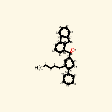 CCCCCc1cc(C(=O)c2cccc3c2[C]c2ccccc2-3)ccc1-c1ccccc1